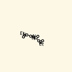 CCn1c2ccccc2c2cc(-c3ccc(-n4nc5cc(-c6ccc7c(c6)c6ccccc6n7CC)c6ccccc6c5n4)cc3)ccc21